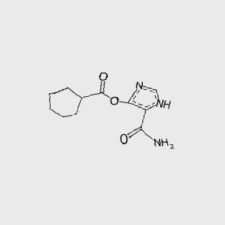 NC(=O)c1[nH]cnc1OC(=O)C1CCCCC1